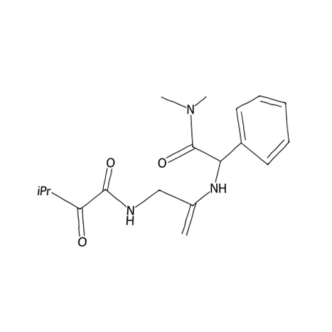 C=C(CNC(=O)C(=O)C(C)C)NC(C(=O)N(C)C)c1ccccc1